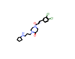 O=C(/C=C/c1ccc(Cl)c(Cl)c1)N1CCC(=O)N(CCCNC2CCCC2)CC1